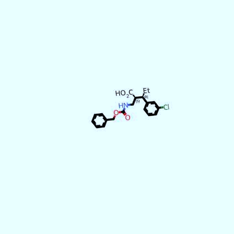 CC[C@@H](c1cccc(Cl)c1)[C@@H](CNC(=O)OCc1ccccc1)C(=O)O